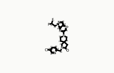 O=C1CC2(CCN(c3cnc4cnn(CC(F)F)c4n3)CC2)CN1Cc1ccc(Cl)cn1